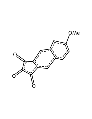 COc1ccc2cc3c(=O)c(=O)c(=O)c3cc2c1